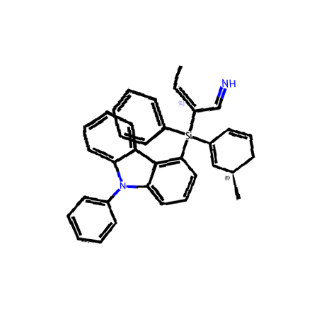 C/C=C(\C=N)[Si](C1=C[C@H](C)CC=C1)(c1ccccc1)c1cccc2c1c1ccccc1n2-c1ccccc1